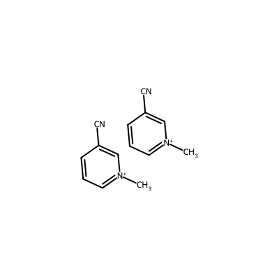 C[n+]1cccc(C#N)c1.C[n+]1cccc(C#N)c1